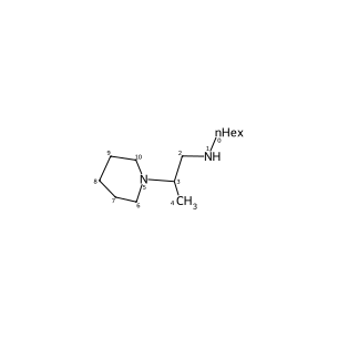 CCCCCCNCC(C)N1CCCCC1